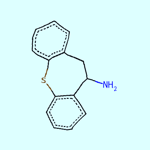 NC1Cc2ccccc2Sc2ccccc21